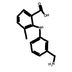 Cc1cccc(C(=O)O)c1Nc1cccc(CN)c1